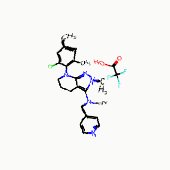 CCCN(Cc1ccncc1)c1c2c(nn1C)N(c1c(C)cc(C)cc1Cl)CCC2.O=C(O)C(F)(F)F